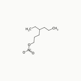 CCCC(CC)CCCO[N+](=O)[O-]